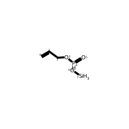 C=CCO[PH](=O)O[SiH3]